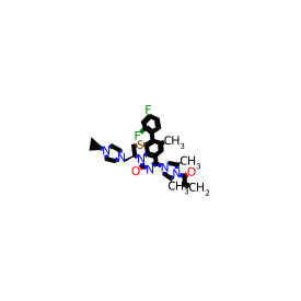 C=CC(=O)N1[C@H](C)CN(c2nc(=O)n3c4c(c(-c5ccc(F)cc5F)c(C)cc24)SC[C@@H]3CN2CCN(C3CC3)CC2)C[C@@H]1C